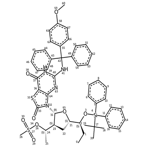 CC[C@H](O[Si](c1ccccc1)(c1ccccc1)C(C)(C)C)[C@@H]1C[C@@H]([C@H](C)OS(C)(=O)=O)[C@H](n2c(=O)sc3c(=O)[nH]c(NC(c4ccccc4)(c4ccccc4)c4ccc(OC)cc4)nc32)O1